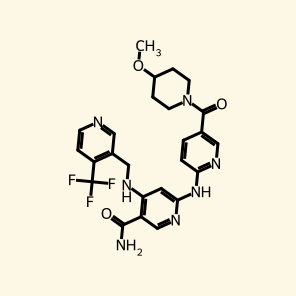 COC1CCN(C(=O)c2ccc(Nc3cc(NCc4cnccc4C(F)(F)F)c(C(N)=O)cn3)nc2)CC1